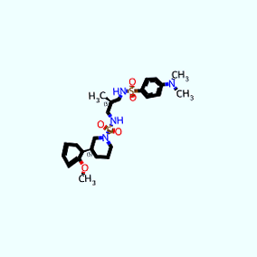 COC1=CC=CCC1[C@@H]1CCCN(S(=O)(=O)NC[C@@H](C)CNS(=O)(=O)c2ccc(N(C)C)cc2)C1